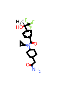 C[C@](O)(c1ccc(C(=O)N(C2CCC(CC(N)=O)CC2)C2CC2)cc1)C(F)(F)F